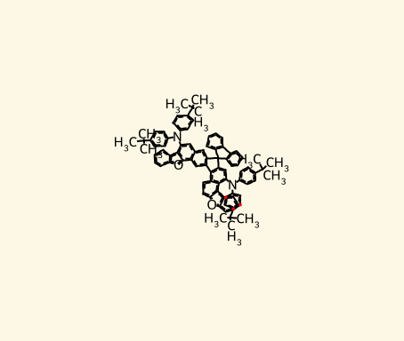 CC(C)(C)c1ccc(N(c2ccc(C(C)(C)C)cc2)c2cc3cc4c(cc3c3oc5ccccc5c23)-c2c(cc(N(c3ccc(C(C)(C)C)cc3)c3ccc(C(C)(C)C)cc3)c3c2ccc2oc5ccccc5c23)C42c3ccccc3-c3ccccc32)cc1